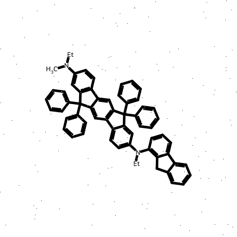 CCN(C)c1ccc2c(c1)C(c1ccccc1)(c1ccccc1)c1cc3c(cc1-2)C(c1ccccc1)(c1ccccc1)c1cc(N(CC)c2cccc4c2Cc2ccccc2-4)ccc1-3